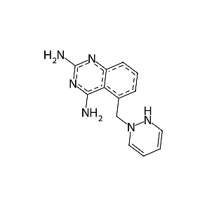 Nc1nc(N)c2c(CN3C=CC=CN3)cccc2n1